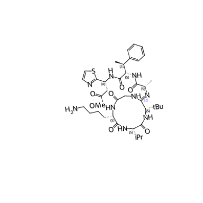 COC(=O)C[C@@H](NC(=O)[C@@H](NC(=O)[C@H](C)/N=C1\NCC(=O)N[C@@H](CCCCN)C(=O)N[C@@H](C(C)C)C(=O)N[C@H]1C(C)(C)C)[C@@H](C)c1ccccc1)c1nccs1